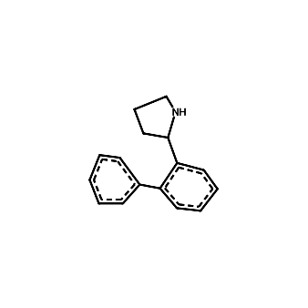 c1ccc(-c2ccccc2C2CCCN2)cc1